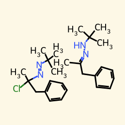 CC(C)(C)N=NC(C)(Cl)Cc1ccccc1.CC(Cc1ccccc1)=NNC(C)(C)C